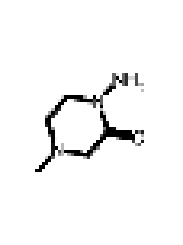 CN1CCN(N)C(=O)C1